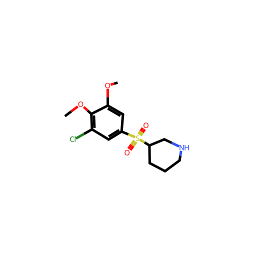 COc1cc(S(=O)(=O)C2CCCNC2)cc(Cl)c1OC